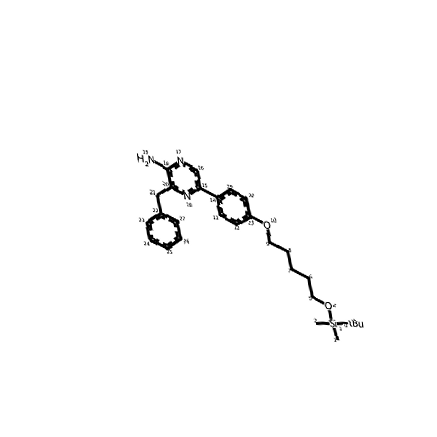 CC(C)(C)[Si](C)(C)OCCCCCOc1ccc(-c2cnc(N)c(Cc3ccccc3)n2)cc1